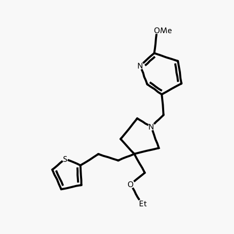 CCOCC1(CCc2cccs2)CCN(Cc2ccc(OC)nc2)C1